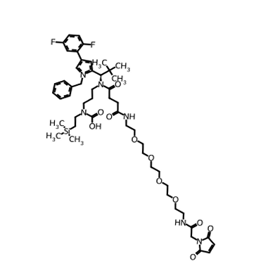 CC(C)(C)[C@H](c1cc(-c2cc(F)ccc2F)cn1Cc1ccccc1)N(CCCN(CC[Si](C)(C)C)C(=O)O)C(=O)CCC(=O)NCCOCCOCCOCCOCCNC(=O)CN1C(=O)C=CC1=O